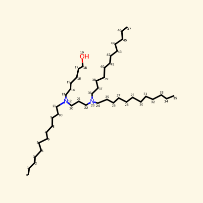 CCCCCCCCCCCCN(CCCCCCO)CCCN(CCCCCCCCCCCC)CCCCCCCCCCCC